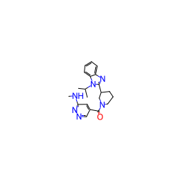 CNc1cc(C(=O)N2CCCC(c3nc4ccccc4n3C(C)C)C2)cnn1